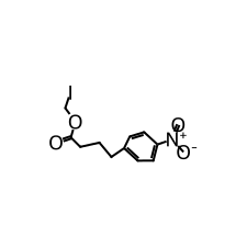 O=C(CCCc1ccc([N+](=O)[O-])cc1)OCI